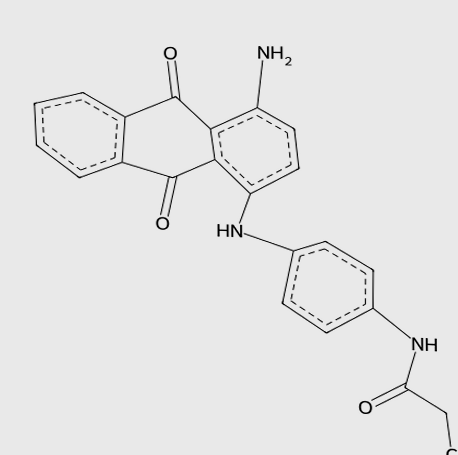 Nc1ccc(Nc2ccc(NC(=O)CCl)cc2)c2c1C(=O)c1ccccc1C2=O